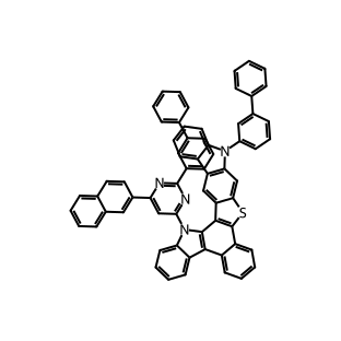 c1ccc(-c2cccc(-c3nc(-c4ccc5ccccc5c4)cc(-n4c5ccccc5c5c6ccccc6c6sc7cc8c(cc7c6c54)c4ccccc4n8-c4cccc(-c5ccccc5)c4)n3)c2)cc1